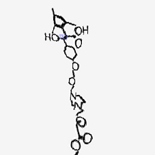 CCOC(=O)COCCN1CCN(CCOCCOC2CCC(/C(O)=C(\C(=O)O)c3c(C)cc(C)cc3C)CC2)CC1